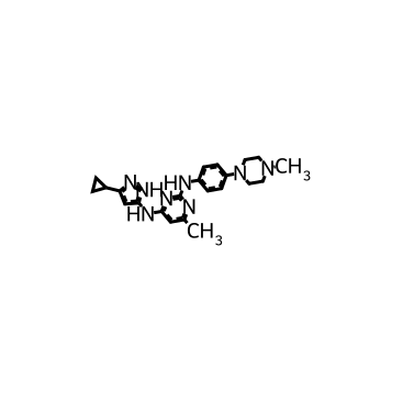 Cc1cc(Nc2cc(C3CC3)n[nH]2)nc(Nc2ccc(N3CCN(C)CC3)cc2)n1